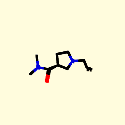 CC(C)CN1CC[C@H](C(=O)N(C)C)C1